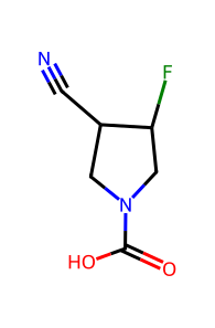 N#CC1CN(C(=O)O)CC1F